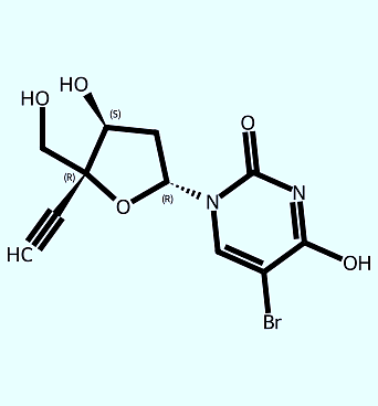 C#C[C@]1(CO)O[C@@H](n2cc(Br)c(O)nc2=O)C[C@@H]1O